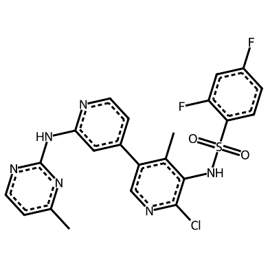 Cc1ccnc(Nc2cc(-c3cnc(Cl)c(NS(=O)(=O)c4ccc(F)cc4F)c3C)ccn2)n1